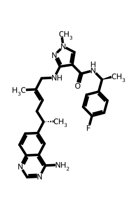 C/C(=C\C[C@H](C)c1ccc2ncnc(N)c2c1)CNc1nn(C)cc1C(=O)N[C@@H](C)c1ccc(F)cc1